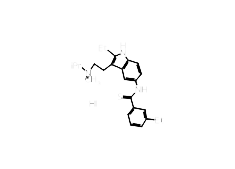 CCc1cccc(C(=S)Nc2ccc3[nH]c(CC)c(CCN(C)C(C)C)c3c2)c1.I